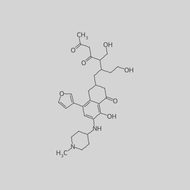 CC(=O)CC(=O)C(CO)C(CCO)CC1CC(=O)c2c(O)c(NC3CCN(C)CC3)cc(-c3ccoc3)c2C1